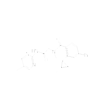 Cc1cnc(NC(=O)CN2C[C@@]3(C[C@@H]3F)c3cc(Br)ccc3C2=O)nc1